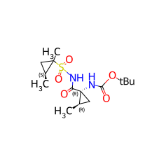 C[C@@H]1C[C@]1(NC(=O)OC(C)(C)C)C(=O)NS(=O)(=O)C1(C)C[C@@H]1C